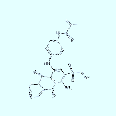 C=C(C)C(=O)Nc1ccc(Nc2cc(S(=O)(=O)[O-])c(N)c3c2C(=O)c2ccccc2C3=O)cc1.[Na+]